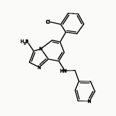 Bc1cnc2c(NCc3ccncc3)cc(-c3ccccc3Cl)cn12